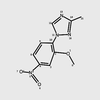 COc1cc([N+](=O)[O-])ccc1-n1cnc(C)n1